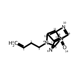 C=CCCn1c2nc3nc4nc(c31)P42=O